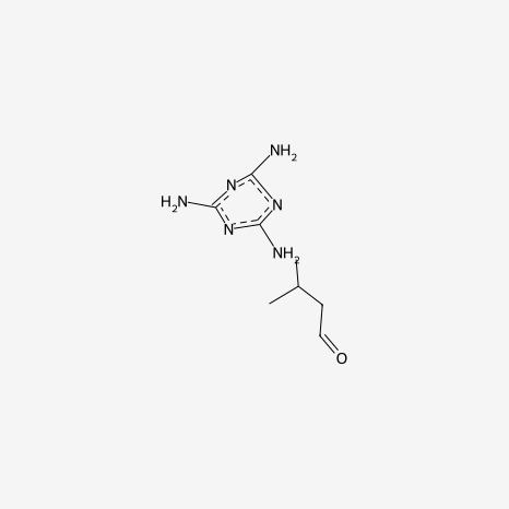 CC(C)CC=O.Nc1nc(N)nc(N)n1